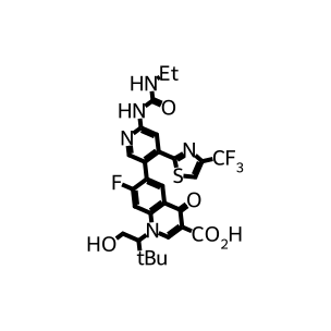 CCNC(=O)Nc1cc(-c2nc(C(F)(F)F)cs2)c(-c2cc3c(=O)c(C(=O)O)cn(C(CO)C(C)(C)C)c3cc2F)cn1